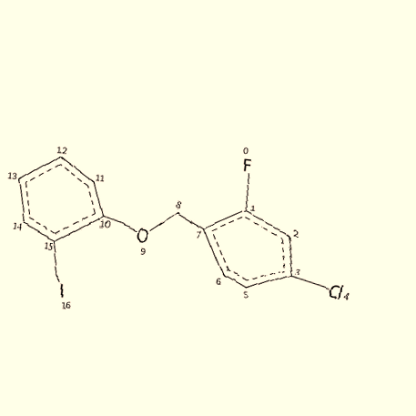 Fc1cc(Cl)ccc1COc1ccccc1I